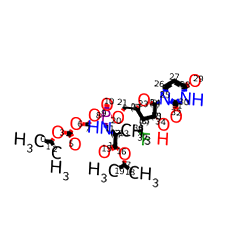 CC(C)OC(=O)OCOP(=O)(N[C@@H](C)C(=O)OC(C)C)OC[C@H]1O[C@@H](n2ccc(=O)[nH]c2=O)[C@H](O)[C@@H]1CF